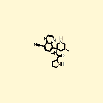 C[C@@H]1CNC[C@@](c2ccc(C#N)c3nccnc23)(N(C)C(=O)C2CCCN2)C1